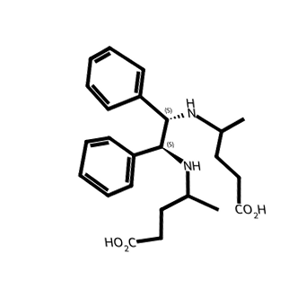 CC(CCC(=O)O)N[C@@H](c1ccccc1)[C@@H](NC(C)CCC(=O)O)c1ccccc1